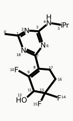 Cc1nc(NC(C)C)nc(C2=C(F)C(O)C(F)(F)CC2)n1